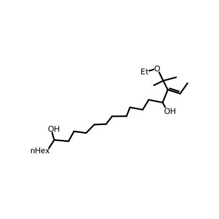 CC=C(C(O)CCCCCCCCCCC(O)CCCCCC)C(C)(C)OCC